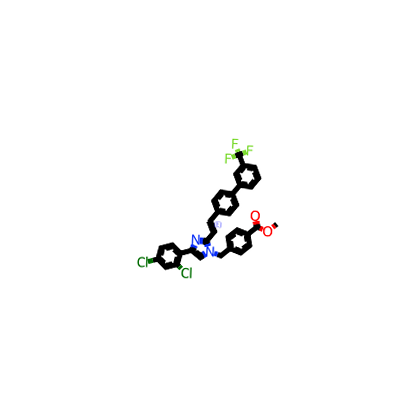 COC(=O)c1ccc(Cn2cc(-c3ccc(Cl)cc3Cl)nc2/C=C/c2ccc(-c3cccc(C(F)(F)F)c3)cc2)cc1